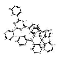 c1ccc(-c2nc(-c3ccccc3)nc(-c3ccc(-c4cccc5c4C4(c6ccccc6-5)c5ccccc5N(c5ccccc5)c5ccccc54)cc3)n2)cc1